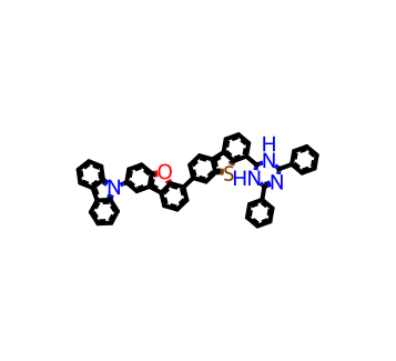 c1ccc(C2=NC(c3ccccc3)NC(c3cccc4c3sc3cc(-c5cccc6c5oc5ccc(-n7c8ccccc8c8ccccc87)cc56)ccc34)N2)cc1